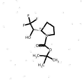 CC(C)(C)OC(=O)N1CCC[C@H]1C(O)C(F)(F)F